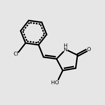 O=C1C=C(O)/C(=C/c2ccccc2Cl)N1